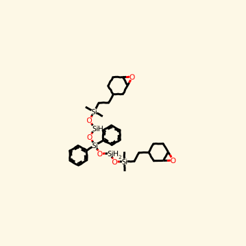 C[Si](C)(CCC1CCC2OC2C1)O[SiH2]O[Si](O[SiH2]O[Si](C)(C)CCC1CCC2OC2C1)(c1ccccc1)c1ccccc1